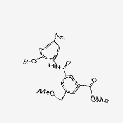 CCOc1ccc(C(C)=O)cc1NC(=O)c1cc(COC)cc(C(=O)OC)c1